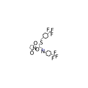 O=C1CCC(=O)N1OC(/C=N/c1ccc(C(F)(F)F)cc1)CSCc1ccc(C(F)(F)F)cc1